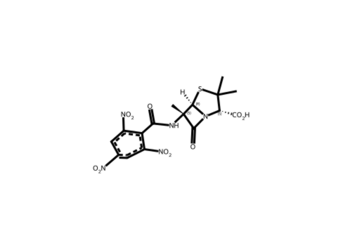 CC1(C)S[C@H]2N(C(=O)[C@]2(C)NC(=O)c2c([N+](=O)[O-])cc([N+](=O)[O-])cc2[N+](=O)[O-])[C@H]1C(=O)O